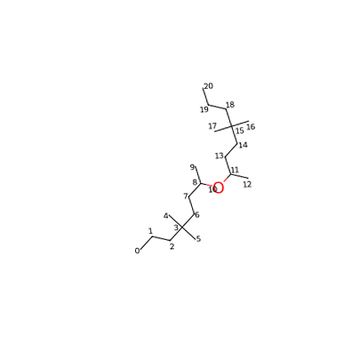 CCCC(C)(C)CCC(C)OC(C)CCC(C)(C)CCC